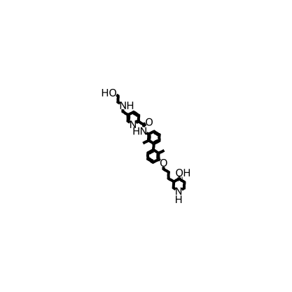 Cc1c(NC(=O)c2ccc(CNCCO)cn2)cccc1-c1cccc(OCCCC2CNCC[C@H]2O)c1C